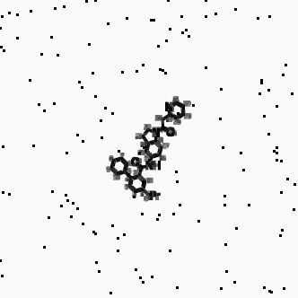 CC(C)c1ccc(-c2ccccc2)c(C(=O)Nc2ccc3c(c2)CCN3C(=O)Cc2ccccn2)c1